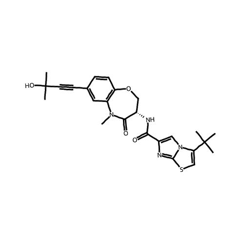 CN1C(=O)[C@@H](NC(=O)c2cn3c(C(C)(C)C)csc3n2)COc2ccc(C#CC(C)(C)O)cc21